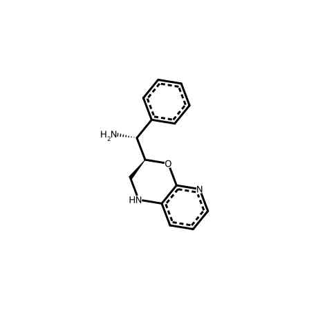 N[C@H](c1ccccc1)[C@@H]1CNc2cccnc2O1